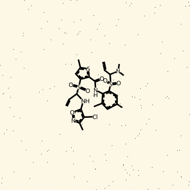 C=CC(Nc1onc(C)c1Cl)S(=O)(=O)c1cc(C)sc1C(=O)Nc1c(C)cc(C)cc1S(=O)(=O)C(C=C)N(C)C